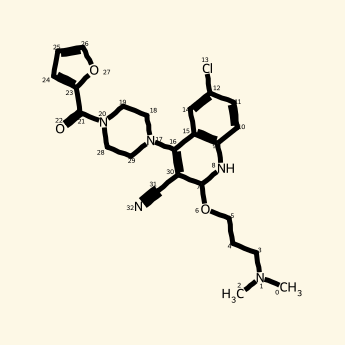 CN(C)CCCOC1Nc2ccc(Cl)cc2C(N2CCN(C(=O)c3ccco3)CC2)=C1C#N